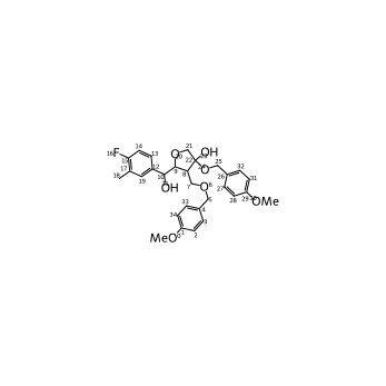 COc1ccc(COCC2C(C(O)c3ccc(F)c(C)c3)OCC2(O)OCc2ccc(OC)cc2)cc1